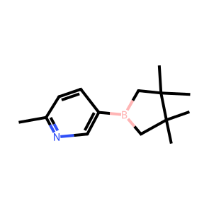 Cc1ccc(B2CC(C)(C)C(C)(C)C2)cn1